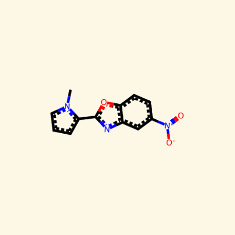 Cn1cccc1-c1nc2cc([N+](=O)[O-])ccc2o1